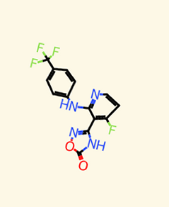 O=c1[nH]c(-c2c(F)ccnc2Nc2ccc(C(F)(F)F)cc2)no1